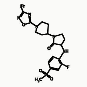 CC(C)c1noc(N2CCC(N3CCC(Nc4ccc(S(C)(=O)=O)cc4F)C3=O)CC2)n1